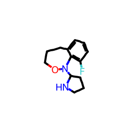 Fc1cccc2c1N(C1CCCN1)OCCC2